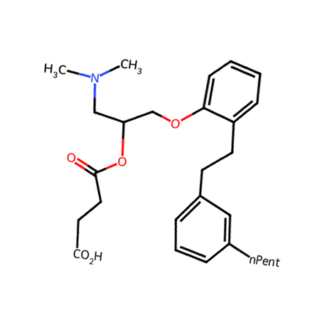 CCCCCc1cccc(CCc2ccccc2OCC(CN(C)C)OC(=O)CCC(=O)O)c1